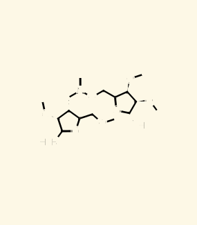 BC1OC(COC)[C@@H](CN(C)OCC2O[C@@H](S)[C@H](OC)[C@@H]2OC)[C@H]1OC